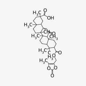 Cc1oc(=O)oc1COC(=O)C1CCC2(C)C(CCC3(C)C2C(=O)C=C2C4CC(C)(C(=O)O)CCC4(C)CCC23C)C1(C)C